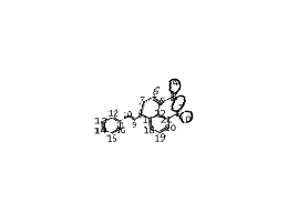 O=C1OC(=O)c2ccc(/C=C/c3ccccc3)c3cccc1c23